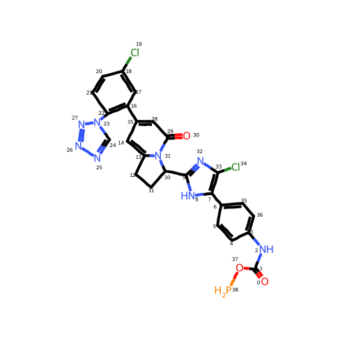 O=C(Nc1ccc(-c2[nH]c(C3CCc4cc(-c5cc(Cl)ccc5-n5cnnn5)cc(=O)n43)nc2Cl)cc1)OP